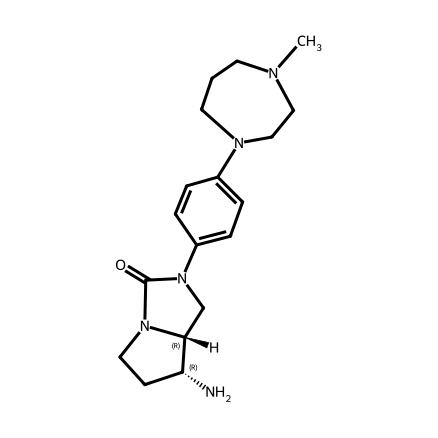 CN1CCCN(c2ccc(N3C[C@@H]4[C@H](N)CCN4C3=O)cc2)CC1